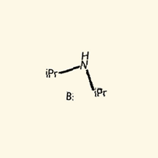 CC(C)NC(C)C.[B]